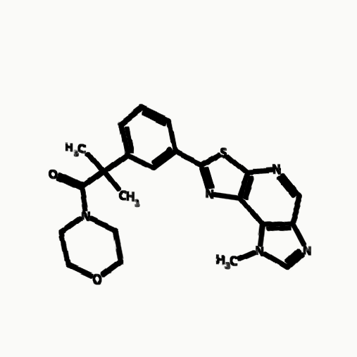 Cn1cnc2cnc3sc(-c4cccc(C(C)(C)C(=O)N5CCOCC5)c4)nc3c21